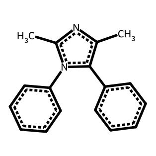 Cc1nc(C)n(-c2ccccc2)c1-c1ccccc1